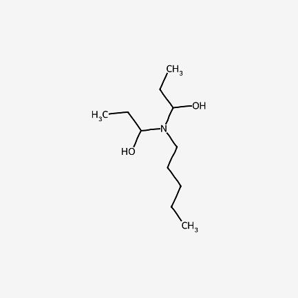 CCCCCN(C(O)CC)C(O)CC